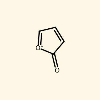 O=C1C=CC=[O+]1